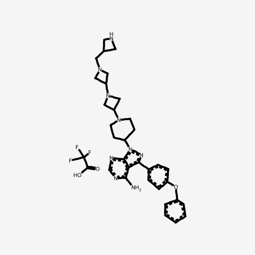 Nc1ncnc2c1c(-c1ccc(Oc3ccccc3)cc1)nn2C1CCN(C2CN(C3CN(CC4CNC4)C3)C2)CC1.O=C(O)C(F)(F)F